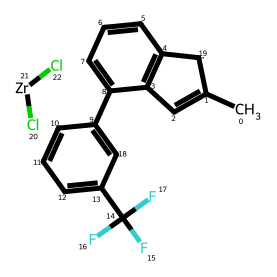 CC1=Cc2c(cccc2-c2cccc(C(F)(F)F)c2)[CH]1.[Cl][Zr][Cl]